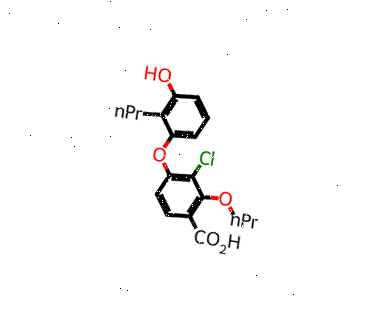 CCCOc1c(C(=O)O)ccc(Oc2cccc(O)c2CCC)c1Cl